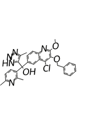 COc1nc2ccc(C(O)(c3ccc(C)nc3C)c3[nH]nnc3C)cc2c(Cl)c1OCc1ccccc1